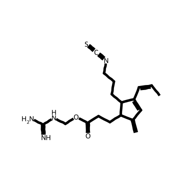 C=C1C=C(/C=C\C)C(CCCN=C=S)C1CCC(=O)OCNC(=N)N